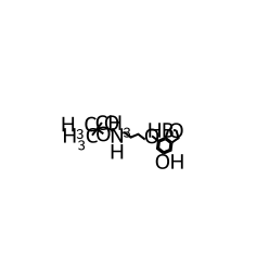 CC(C)(C)OC(=O)NCCCCOc1cc(O)cc2c1BOC2